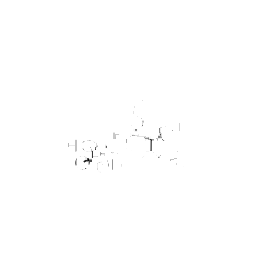 CC1OC(CNP(=O)(O)O)C(F)[C@H](O)[C@@H]1O